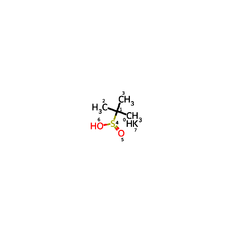 CC(C)(C)S(=O)O.[KH]